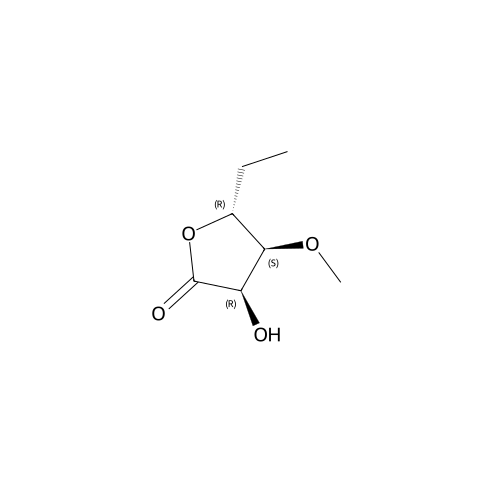 CC[C@H]1OC(=O)[C@H](O)[C@@H]1OC